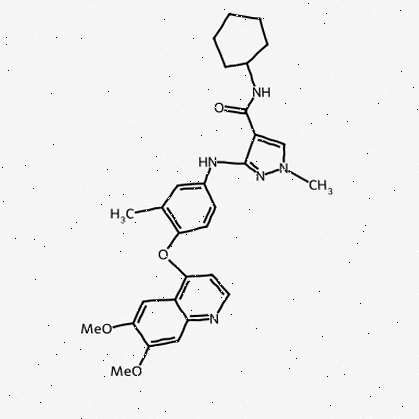 COc1cc2nccc(Oc3ccc(Nc4nn(C)cc4C(=O)NC4CCCCC4)cc3C)c2cc1OC